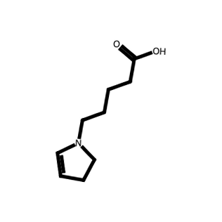 O=C(O)CCCCN1C=CCC1